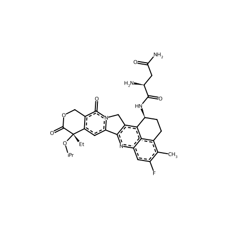 CC[C@@]1(OC(C)C)C(=O)OCc2c1cc1n(c2=O)Cc2c-1nc1cc(F)c(C)c3c1c2[C@@H](NC(=O)[C@@H](N)CC(N)=O)CC3